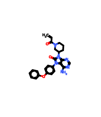 C=CC(=O)N1CCCC(n2c(=O)n(-c3ccc(Oc4ccccc4)cc3)c3c(N)ncnc32)C1